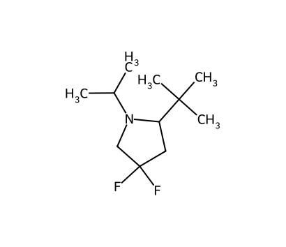 CC(C)N1CC(F)(F)CC1C(C)(C)C